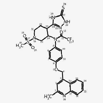 Cc1cc(COc2ccc(N(C(=O)C(F)(F)F)C3CN(S(C)(=O)=O)CCC3c3n[nH]c(=S)[nH]3)cc2)c2ccccc2n1